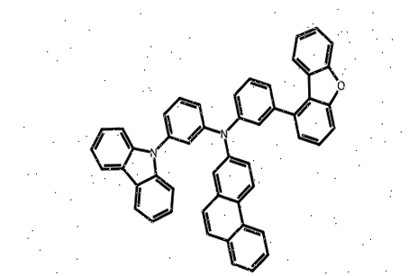 c1cc(-c2cccc3oc4ccccc4c23)cc(N(c2cccc(-n3c4ccccc4c4ccccc43)c2)c2ccc3c(ccc4ccccc43)c2)c1